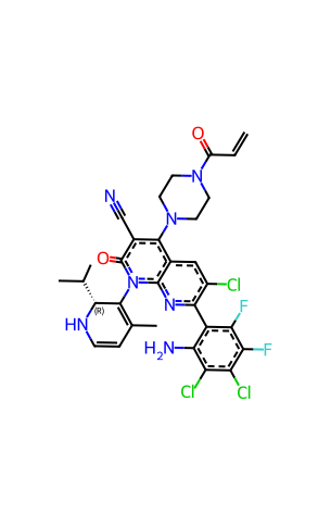 C=CC(=O)N1CCN(c2c(C#N)c(=O)n(C3=C(C)C=CN[C@@H]3C(C)C)c3nc(-c4c(N)c(Cl)c(Cl)c(F)c4F)c(Cl)cc23)CC1